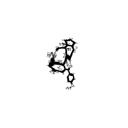 CC(C)Oc1ccc(C(=O)C2CC(=O)C=C3NC[C@H]4[C@@H]5CCC[C@@]5(C)CC[C@@H]4[C@]32C)cc1